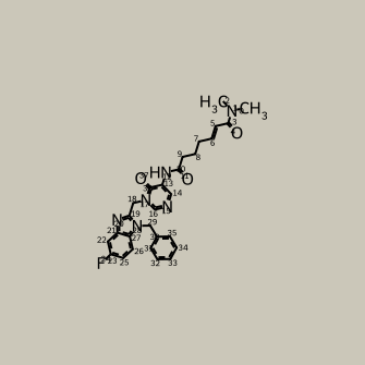 CN(C)C(=O)/C=C/CCCC(=O)Nc1cncn(Cc2nc3cc(F)ccc3n2Cc2ccccc2)c1=O